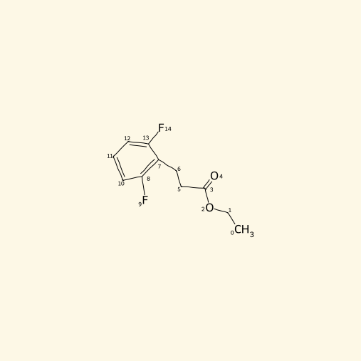 CCOC(=O)CCc1c(F)cccc1F